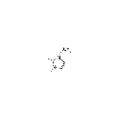 CC1N(C)C=CN1CC(F)(F)F